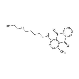 Cc1ccc(NCCCCCOCCO)c2c1C(=O)c1ccccc1C2=O